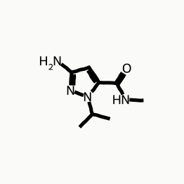 CNC(=O)c1cc(N)nn1C(C)C